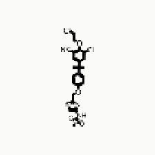 CC(C)(c1ccc(OCc2nc(NS(C)(=O)=O)cs2)cc1)c1cc(Cl)c(OCCCl)c(C#N)c1